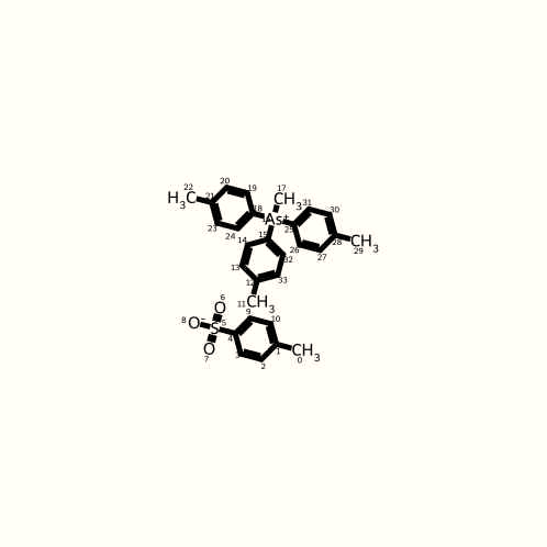 Cc1ccc(S(=O)(=O)[O-])cc1.Cc1ccc([As+](C)(c2ccc(C)cc2)c2ccc(C)cc2)cc1